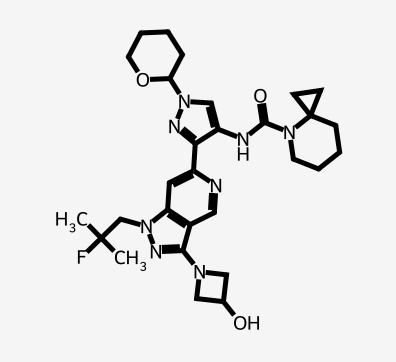 CC(C)(F)Cn1nc(N2CC(O)C2)c2cnc(-c3nn(C4CCCCO4)cc3NC(=O)N3CCCCC34CC4)cc21